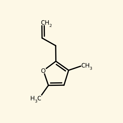 C=CCc1oc(C)cc1C